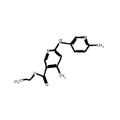 CCOC(=O)c1cnc(Nc2ccc(C)nc2)cc1C